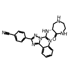 N#Cc1ccc(-c2nc3c4ccccc4nc(N[C@@H]4CNCCNC4=O)n3n2)cc1